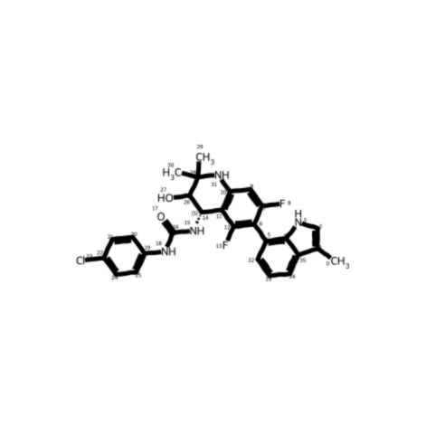 Cc1c[nH]c2c(-c3c(F)cc4c(c3F)[C@H](NC(=O)Nc3ccc(Cl)cc3)C(O)C(C)(C)N4)cccc12